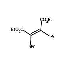 CCOC(=O)/C(=C(\C(=O)OCC)C(C)C)C(C)C